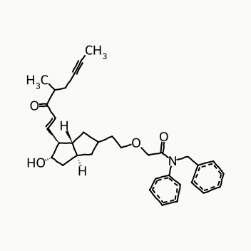 CC#CCC(C)C(=O)C=C[C@H]1[C@@H]2CC(CCOCC(=O)N(Cc3ccccc3)c3ccccc3)C[C@H]2C[C@@H]1O